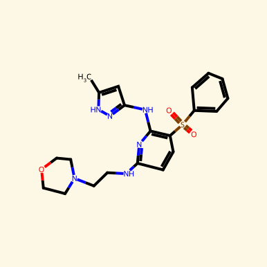 Cc1cc(Nc2nc(NCCN3CCOCC3)ccc2S(=O)(=O)c2ccccc2)n[nH]1